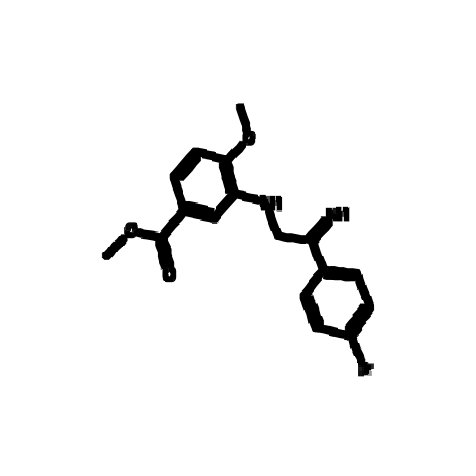 COC(=O)c1ccc(OC)c(NCC(=N)c2ccc(Br)cc2)c1